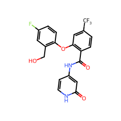 O=C(Nc1cc[nH]c(=O)c1)c1ccc(C(F)(F)F)cc1Oc1ccc(F)cc1CO